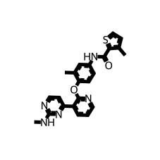 CNc1nccc(-c2cccnc2Oc2ccc(NC(=O)c3sccc3C)cc2C)n1